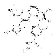 CNC(=O)c1cnc(-n2c(=O)n(C)c3cnc4cc(OC)c(-c5cnn(C)c5)cc4c32)c(F)c1